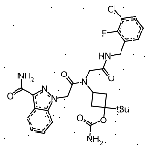 CC(C)(C)C1(OC(N)=O)CC(N(CC(=O)NCc2cccc(Cl)c2F)C(=O)Cn2nc(C(N)=O)c3ccccc32)C1